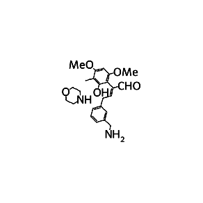 C1COCCN1.COc1cc(OC)c(/C(C=O)=C\Cc2cccc(CN)c2)c(O)c1C